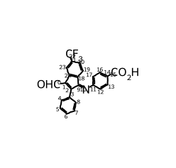 O=CC1=C(c2ccccc2)C(=Nc2ccc(C(=O)O)cc2)c2ccc(C(F)(F)F)cc21